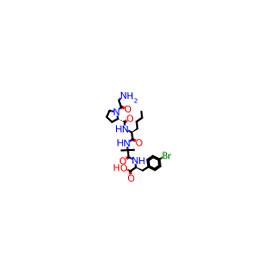 CCCC[C@H](NC(=O)[C@@H]1CCCN1C(=O)CN)C(=O)NC(C)(C)C(=O)N[C@@H](Cc1ccc(Br)cc1)C(=O)O